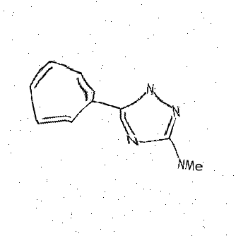 CNC1=N[N]C(c2ccccc2)=N1